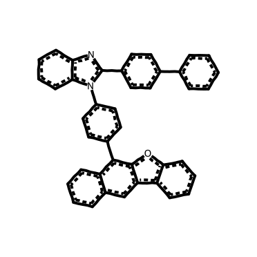 c1ccc(-c2ccc(-c3nc4ccccc4n3-c3ccc(-c4c5ccccc5cc5c4oc4ccccc45)cc3)cc2)cc1